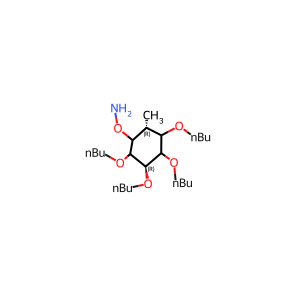 CCCCOC1C(OCCCC)[C@@H](OCCCC)C(OCCCC)C(ON)[C@@H]1C